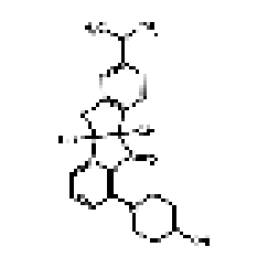 CC(C)c1ccc2c(c1)OC1(O)c3cccc(N4CCC(O)CC4)c3C(=O)C21O